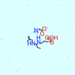 C=C(C)CNC(CC)NCCCS(=O)(=O)O.C[N+](C)(C)CC(=O)[O-]